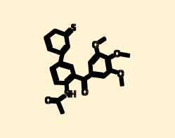 COc1cc(C(=O)c2cc(C3=CC(=S)CC=C3)ccc2NC(C)=O)cc(OC)c1OC